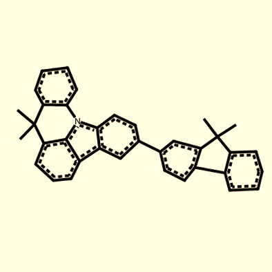 CC1(C)c2ccccc2-c2ccc(-c3ccc4c(c3)c3cccc5c3n4-c3ccccc3C5(C)C)cc21